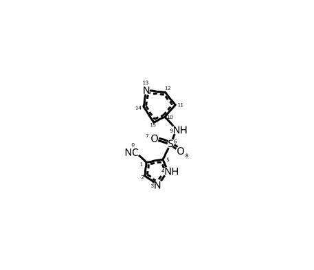 N#Cc1cn[nH]c1S(=O)(=O)Nc1ccncc1